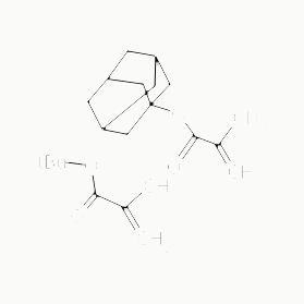 C=C(C)C(=O)OC(C)(C)C.C=C(C)C(=O)OC12CC3CC(CC(C3)C1)C2